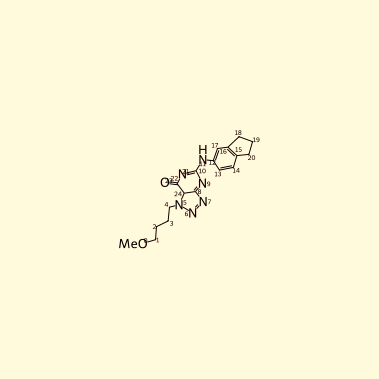 COCCCCN1N=NC2=NC(Nc3ccc4c(c3)CCC4)=NC(=O)C21